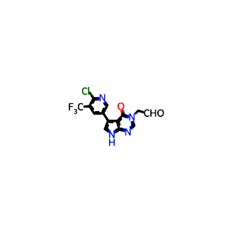 O=CCn1cnc2[nH]cc(-c3cnc(Cl)c(C(F)(F)F)c3)c2c1=O